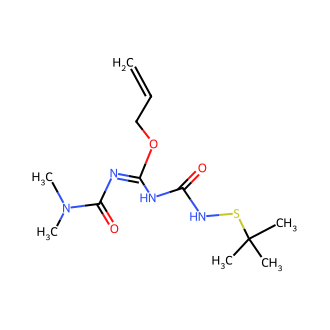 C=CCOC(=NC(=O)N(C)C)NC(=O)NSC(C)(C)C